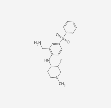 CN1CCC(Nc2ccc(S(=O)(=O)c3ccccc3)cc2CN)C(F)C1